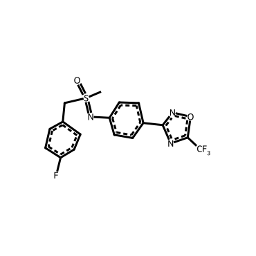 CS(=O)(Cc1ccc(F)cc1)=Nc1ccc(-c2noc(C(F)(F)F)n2)cc1